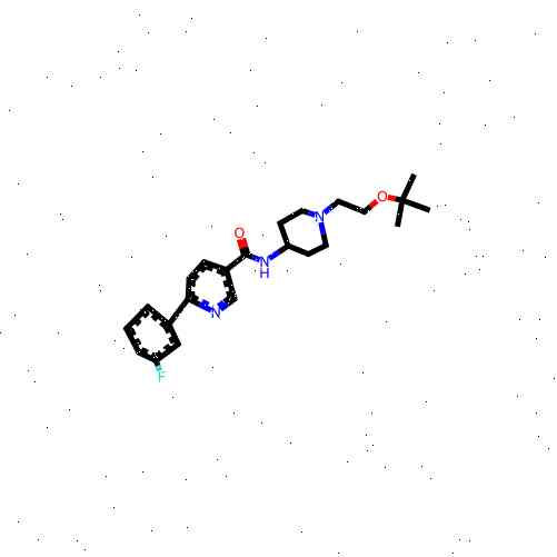 CC(C)(C)OCCN1CCC(NC(=O)c2ccc(-c3cccc(F)c3)nc2)CC1